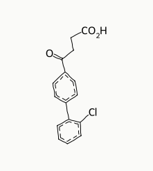 O=C(O)CCC(=O)c1ccc(-c2ccccc2Cl)cc1